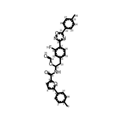 Cc1ccc(-c2ccc(C(=O)NC(Cc3ccc(-c4noc(-c5ccc(C)cc5)n4)c(F)c3)OC=O)o2)cc1